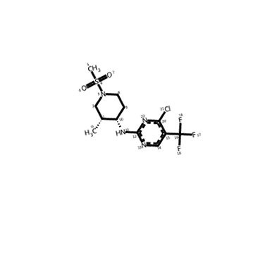 C[C@@H]1CN(S(C)(=O)=O)CC[C@@H]1Nc1ncc(C(F)(F)F)c(Cl)n1